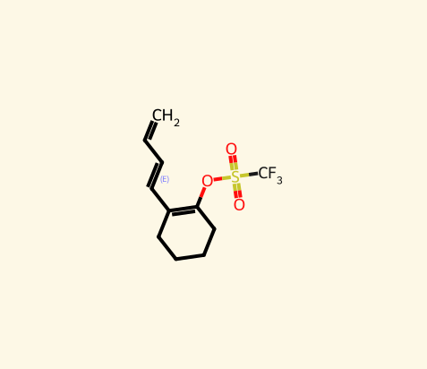 C=C/C=C/C1=C(OS(=O)(=O)C(F)(F)F)CCCC1